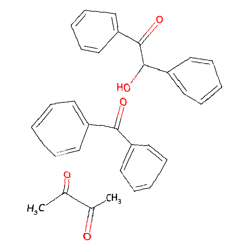 CC(=O)C(C)=O.O=C(c1ccccc1)C(O)c1ccccc1.O=C(c1ccccc1)c1ccccc1